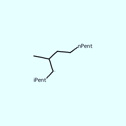 CCCCCCCC(C)[CH]C(C)CCC